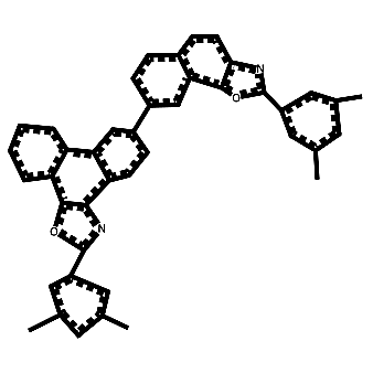 Cc1cc(C)cc(-c2nc3ccc4ccc(-c5ccc6c(c5)c5ccccc5c5oc(-c7cc(C)cc(C)c7)nc65)cc4c3o2)c1